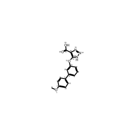 COc1ccc(-c2cccc(Oc3[nH]nnc3C(=O)O)c2)cc1